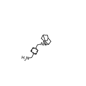 NCc1ccc(CNC23CC4CC(CC(C4)C2)C3)cc1